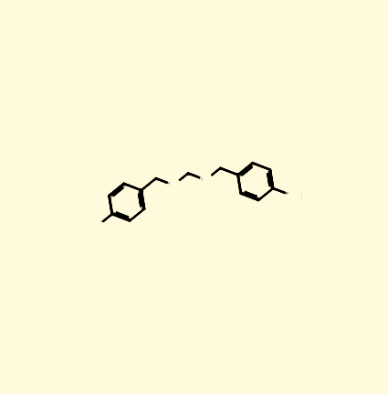 O=Cc1ccc(COCOCc2ccc(C=O)cc2)cc1